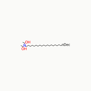 CCCCCCCCCCCCCCCCCCCCCCCCCCCCCN(C(C)O)C(C)O